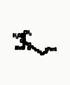 CCCCC/C=C\C/C=C\CCCCCCCC(=O)OCCN(CCOC)C(=O)CN1CC(C)CC(C)C1